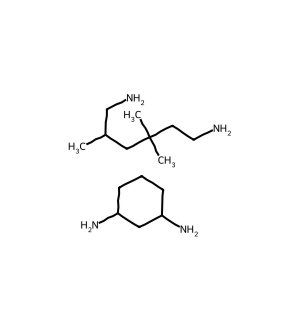 CC(CN)CC(C)(C)CCN.NC1CCCC(N)C1